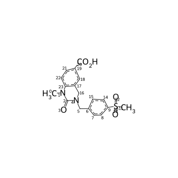 CN1C(=O)N(Cc2ccc(S(C)(=O)=O)cc2)Cc2cc(C(=O)O)ccc21